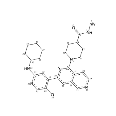 CCCNC(=O)C1CCN(c2nc(-c3cc(NC4CCCCC4)ncc3Cl)cc3cnccc23)CC1